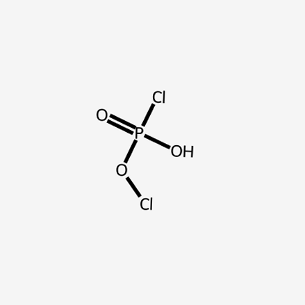 O=P(O)(Cl)OCl